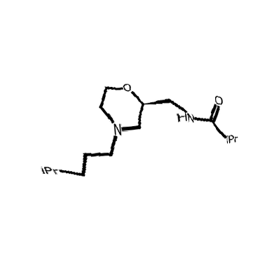 CC(C)CCCN1CCO[C@@H](CNC(=O)C(C)C)C1